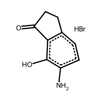 Br.Nc1ccc2c(c1O)C(=O)CC2